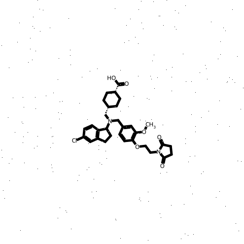 COc1cc(CN(C[C@H]2CC[C@@H](C(=O)O)CC2)C2CCc3cc(Cl)ccc32)ccc1OCCN1C(=O)CCC1=O